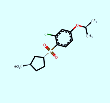 C[C@@H](Oc1ccc(S(=O)(=O)[C@@H]2CC[C@@H](C(=O)O)C2)c(Cl)c1)C(F)(F)F